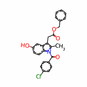 Cc1c(CC(=O)OCc2ccccc2)c2cc(O)ccc2n1C(=O)c1ccc(Cl)cc1